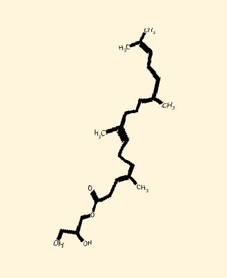 CC(C)=CCCC(C)=CCCC(C)=CCCC(C)=CCC(=O)OCC(O)CO